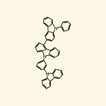 c1ccc(-n2c3ccccc3c3cc(-c4cccc5c4c4ccccc4n5-c4cccc(-n5c6ccccc6c6ccccc65)c4)ccc32)cc1